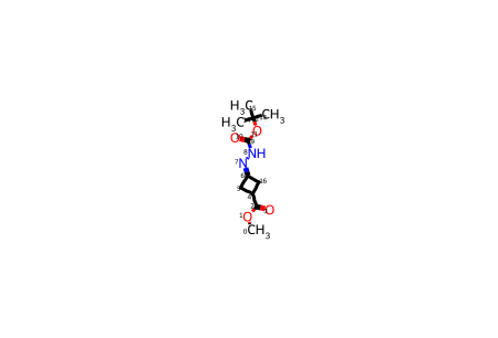 COC(=O)C1CC(=NNC(=O)OC(C)(C)C)C1